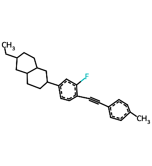 CCC1CCC2CC(c3ccc(C#Cc4ccc(C)cc4)c(F)c3)CCC2C1